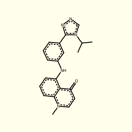 CC(C)n1cnnc1-c1cccc(Nc2cccc3c2c(=O)ccn3C)c1